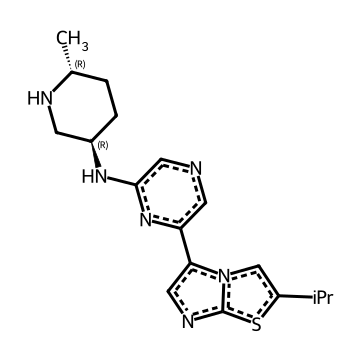 CC(C)c1cn2c(-c3cncc(N[C@@H]4CC[C@@H](C)NC4)n3)cnc2s1